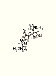 Cn1nccc1NS(=O)(=O)c1ccc(Oc2ccc(Cl)cc2-c2ccnn2C)c(C#N)c1